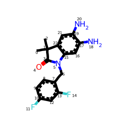 CC1(C)C(=O)N(Cc2ccc(F)cc2F)c2cc(N)c(N)cc21